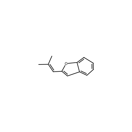 CC(C)=Cc1cc2ccccc2o1